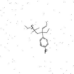 [CH2]C=CC(CC)(CC(C)(C)SCC)c1ccc(F)cc1